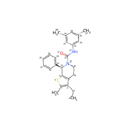 CCc1c(C)sc2c1CCN(C(=O)Nc1cc(C)cc(C)c1)[C@@H]2c1ccccc1